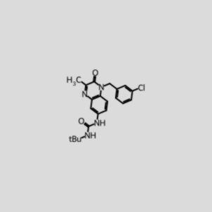 Cc1nc2cc(NC(=O)NC(C)(C)C)ccc2n(Cc2cccc(Cl)c2)c1=O